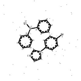 Brc1ccc(-n2ccnc2)cc1.CCB(c1ccccc1)c1ccccc1